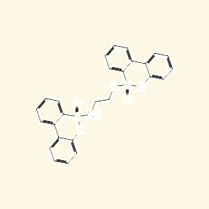 O=P1(NCCOP2(=O)Oc3ccccc3-c3ccccc32)Oc2ccccc2-c2ccccc21